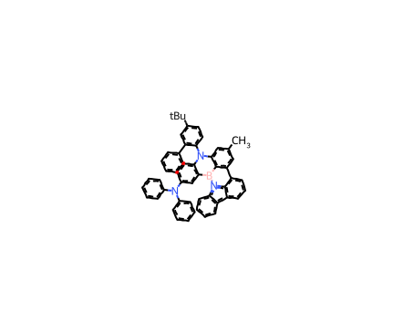 Cc1cc2c3c(c1)N(c1ccc(C(C)(C)C)cc1-c1ccccc1)c1ccc(N(c4ccccc4)c4ccccc4)cc1B3n1c3ccccc3c3cccc-2c31